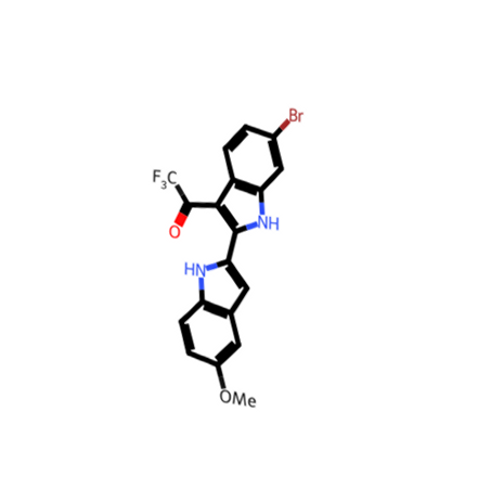 COc1ccc2[nH]c(-c3[nH]c4cc(Br)ccc4c3C(=O)C(F)(F)F)cc2c1